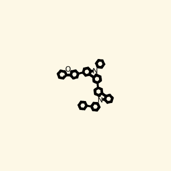 c1ccc(-c2cccc(-n3c4ccccc4c4cc(-c5ccc6c(c5)c5cc(-c7ccc8c(c7)oc7ccccc78)ccc5n6-c5ccccc5)ccc43)c2)cc1